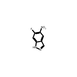 O=[N+]([O-])c1cc2cn[nH]c2cc1F